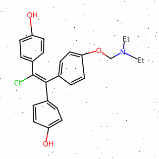 CCN(CC)COc1ccc(/C(=C(/Cl)c2ccc(O)cc2)c2ccc(O)cc2)cc1